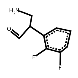 NCC(C=O)c1cccc(F)c1F